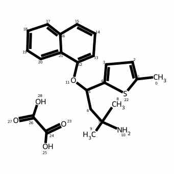 Cc1ccc(C(CC(C)(C)N)Oc2cccc3ccccc23)s1.O=C(O)C(=O)O